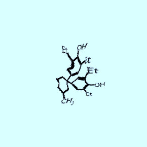 CCc1cc(C2(c3cc(CC)c(O)c(CC)c3)CCCC(C)C2)cc(CC)c1O